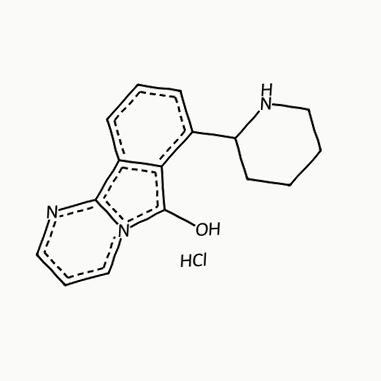 Cl.Oc1c2c(C3CCCCN3)cccc2c2ncccn12